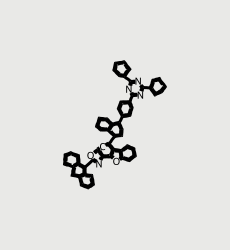 c1ccc(-c2nc(-c3ccccc3)nc(-c3ccc(-c4ccc(-c5cc6oc(-c7c8ccccc8cc8ccccc78)nc6c6oc7ccccc7c56)c5ccccc45)cc3)n2)cc1